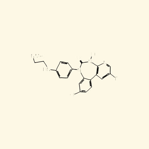 CCN1C(=O)N(c2ccc(NCCNC)cc2)c2cc(Cl)ccc2-c2cc(F)cnc21